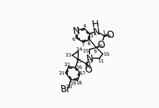 O=C1Nc2cnccc2C2(CCN(C(=O)C3(c4ccc(Br)cc4)CC3)C2)O1